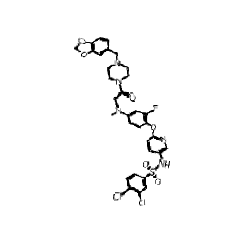 CN(CC(=O)N1CCN(Cc2ccc3c(c2)OCO3)CC1)c1ccc(Oc2ccc(NS(=O)(=O)c3ccc(Cl)c(Cl)c3)cn2)c(F)c1